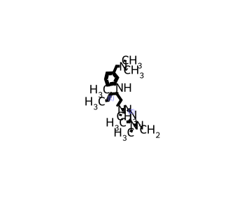 C=NN(C)C(C)/N=N\N(C)CCC(Nc1cccc(CN(C)C)c1)/C(C)=C/C